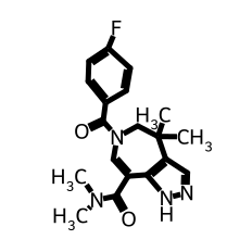 CN(C)C(=O)C1=CN(C(=O)c2ccc(F)cc2)CC(C)(C)c2cn[nH]c21